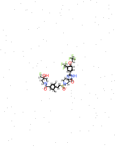 Cc1cc(C(=O)N2CCC(O)(CF)CC2)cc(C)c1/C=C/[S+]([O-])N1CCC2(CC1)N=C(c1ccc(OCC(F)(F)F)c(C(F)(F)F)c1)NC2=O